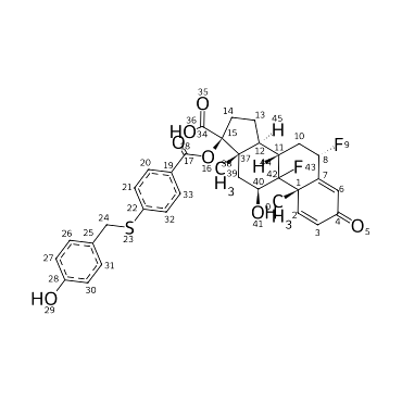 C[C@]12C=CC(=O)C=C1[C@@H](F)C[C@H]1[C@@H]3CC[C@@](OC(=O)c4ccc(SCc5ccc(O)cc5)cc4)(C(=O)O)[C@@]3(C)C[C@H](O)C12F